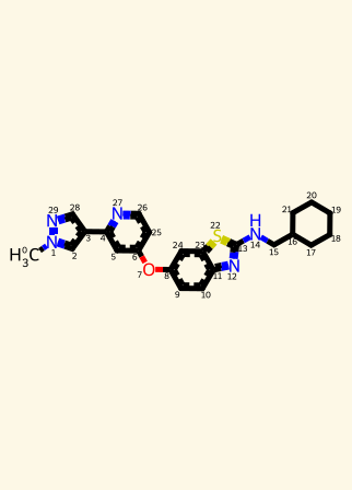 Cn1cc(-c2cc(Oc3ccc4nc(NCC5CCCCC5)sc4c3)ccn2)cn1